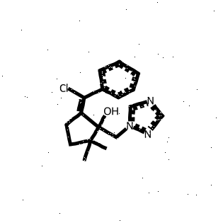 CC1(C)CC/C(=C(\Cl)c2ccccc2)C1(O)Cn1cncn1